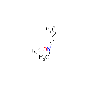 CCCCCCN(CC)OCC